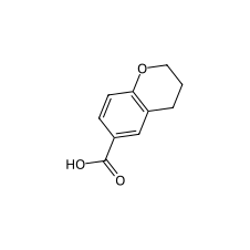 O=C(O)c1ccc2c(c1)CCCO2